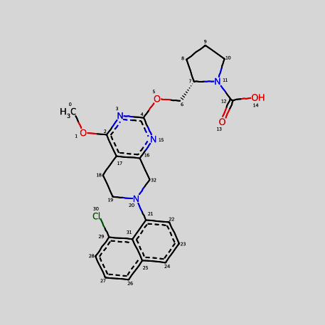 COc1nc(OC[C@@H]2CCCN2C(=O)O)nc2c1CCN(c1cccc3cccc(Cl)c13)C2